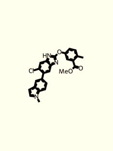 COC(=O)c1cc(Oc2nc3cc(-c4ccc5c(ccn5C)c4)c(Cl)cc3[nH]2)ccc1C